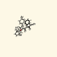 CC(=O)N1CCN(CC(O)CN2[C@@H]3CC[C@H]2C[C@H](NC(=O)n2c(=O)n(C(C)C)c4ccccc42)C3)CC1